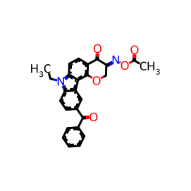 CCn1c2ccc(C(=O)c3ccccc3)cc2c2c3c(ccc21)C(=O)/C(=N/OC(C)=O)CO3